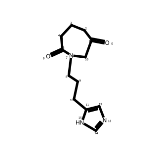 O=C1CCCC(=O)N(CCCc2cnc[nH]2)C1